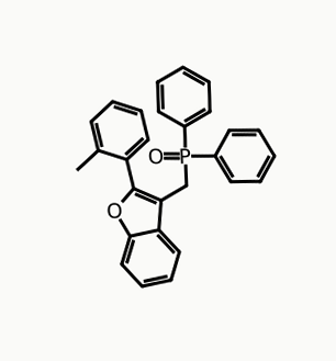 Cc1ccccc1-c1oc2ccccc2c1CP(=O)(c1ccccc1)c1ccccc1